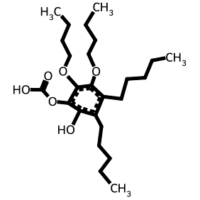 CCCCCc1c(O)c(OC(=O)O)c(OCCCC)c(OCCCC)c1CCCCC